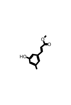 COC(=O)/C=C/c1cc(C)cc(O)c1